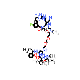 CC[C@H](NC(=O)[C@H]1C[C@@H](NCCOCCOCCC(=O)N(C)CCn2nc(C#N)c3c2CN(C)C(=O)c2ccc(F)cc2[C@H]2CCCN2c2nc-3cnc2N)CN1C(=O)[C@H](NC(=O)[C@@H](C)NC)C(C)(C)C)c1ccccc1